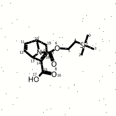 C[Si](C)(C)CCOC(=O)N1C2C=CC1C(C(=O)O)=CC2